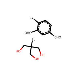 CC(C)c1ccc(C=O)cc1C=O.CCC(CO)(CO)CO